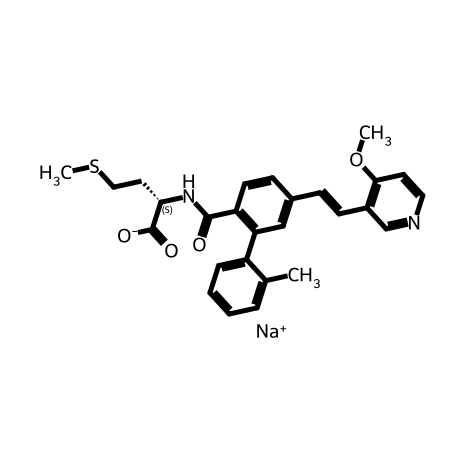 COc1ccncc1C=Cc1ccc(C(=O)N[C@@H](CCSC)C(=O)[O-])c(-c2ccccc2C)c1.[Na+]